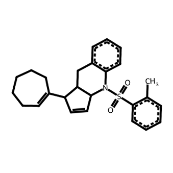 Cc1ccccc1S(=O)(=O)N1c2ccccc2CC2C(C3=CCCCCC3)C=CC21